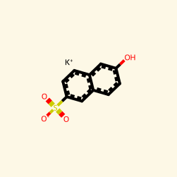 O=S(=O)([O-])c1ccc2cc(O)ccc2c1.[K+]